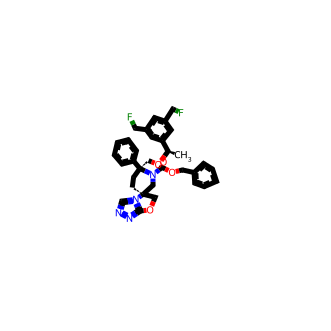 C[C@@H](OC[C@@]1(c2ccccc2)CC[C@@]2(COc3nncn32)CN1C(=O)OCc1ccccc1)c1cc(CF)cc(CF)c1